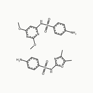 COc1cc(NS(=O)(=O)c2ccc(N)cc2)nc(OC)n1.Cc1nc(NS(=O)(=O)c2ccc(N)cc2)oc1C